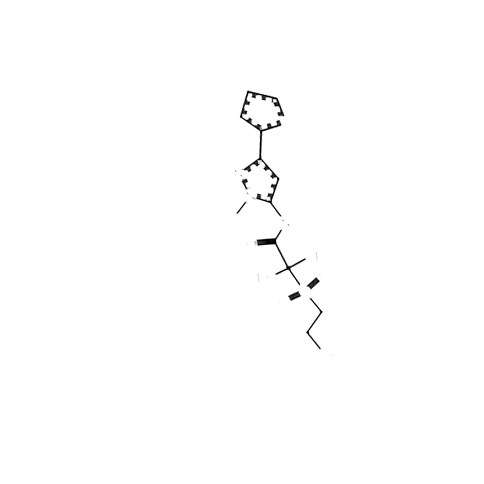 CCCS(=O)(=O)C(C)(C)C(=O)Nc1cc(-c2cccs2)nn1C